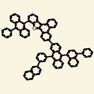 c1ccc(-c2ccc(-c3c4ccccc4c(-c4cccc(-c5ccc6ccccc6c5)c4)c4cc(-c5ccc6c(c5)c5ccccc5c5c7cccc(-c8c9ccccc9c(-c9ccccc9)c9ccccc89)c7oc65)ccc34)c3ccccc23)cc1